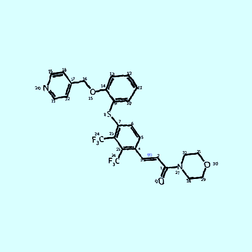 O=C(/C=C/c1ccc(Sc2ccccc2OCc2ccncc2)c(C(F)(F)F)c1C(F)(F)F)N1CCOCC1